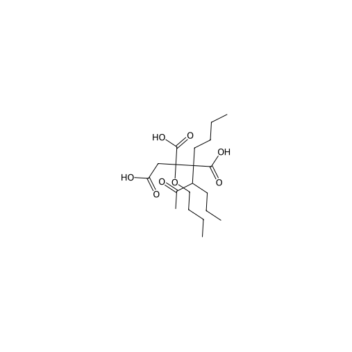 CCCCOC(CC(=O)O)(C(=O)O)C(CCCC)(C(=O)O)C(CCC)C(C)=O